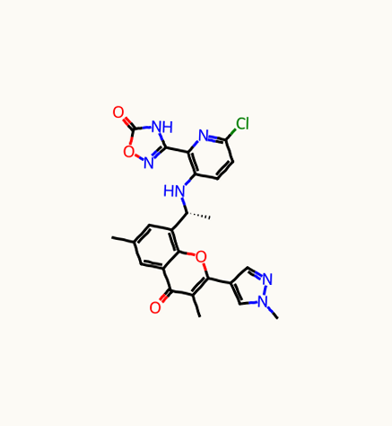 Cc1cc([C@@H](C)Nc2ccc(Cl)nc2-c2noc(=O)[nH]2)c2oc(-c3cnn(C)c3)c(C)c(=O)c2c1